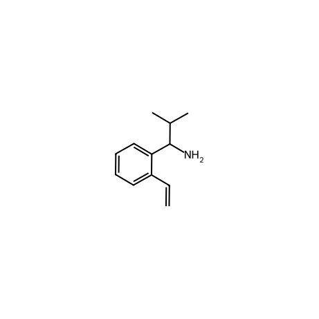 C=Cc1ccccc1C(N)C(C)C